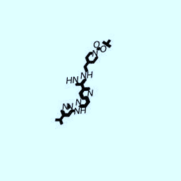 CC(C)c1cnnc(Nc2ccc3ncc(/C(C=N)=C/NCCC4CCN(C(=O)OC(C)(C)C)CC4)cc3n2)c1